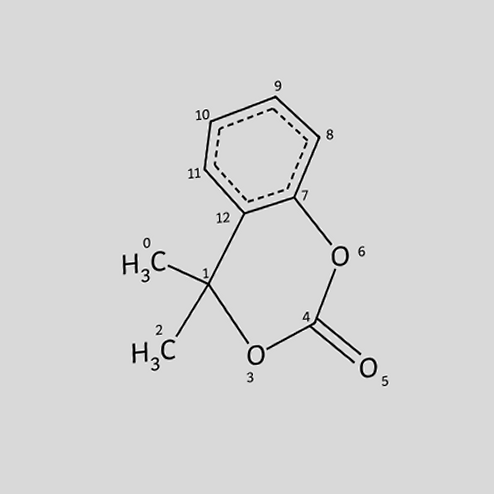 CC1(C)OC(=O)Oc2ccccc21